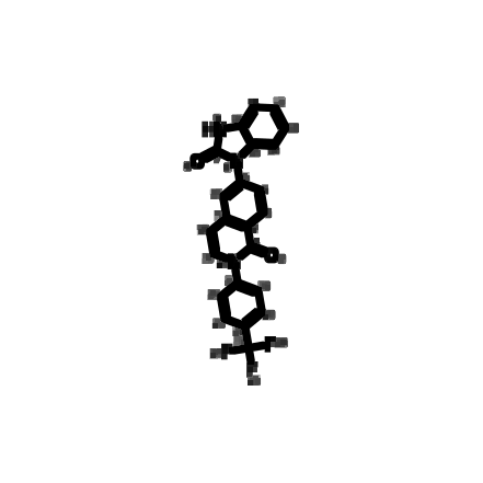 O=c1c2ccc(-n3c(=O)[nH]c4ccccc43)cc2ccn1-c1ccc(C(F)(F)F)cc1